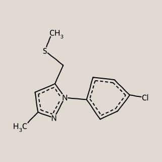 CSCc1cc(C)nn1-c1ccc(Cl)cc1